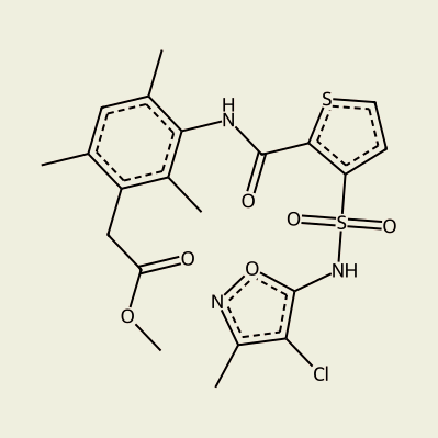 COC(=O)Cc1c(C)cc(C)c(NC(=O)c2sccc2S(=O)(=O)Nc2onc(C)c2Cl)c1C